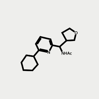 CC(=O)NC(c1cccc(C2CCCCC2)n1)C1CCOC1